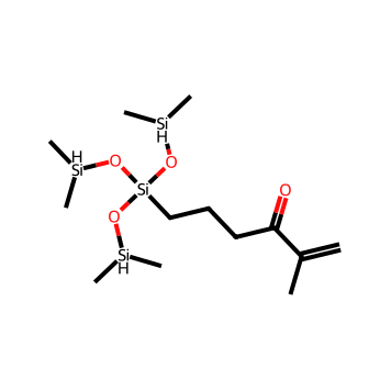 C=C(C)C(=O)CCC[Si](O[SiH](C)C)(O[SiH](C)C)O[SiH](C)C